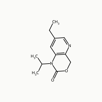 CCc1cnc2c(c1)N(C(C)C)C(=O)OC2